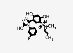 CCCN(C)S(=O)(=O)c1cc(-c2nnc(O)n2-c2cccc(F)c2)c(O)cc1O